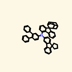 c1ccc(-c2ccc(N(c3ccc4c(c3)-c3ccccc3C43CCCC3)c3cccc4c3-c3ccccc3C43C4CC5CC(C4)CC3C5)cc2-c2ccccc2)cc1